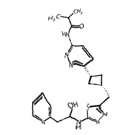 CC(C)C(=O)Nc1ccc([C@H]2C[C@@H](Cc3nnc(NC(O)Cc4ccccn4)s3)C2)nn1